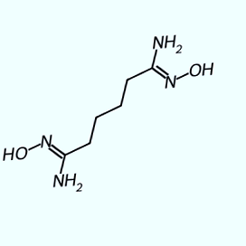 NC(CCCCC(N)=NO)=NO